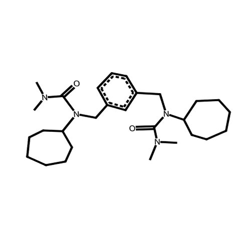 CN(C)C(=O)N(Cc1cccc(CN(C(=O)N(C)C)C2CCCCCC2)c1)C1CCCCCC1